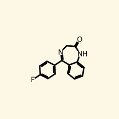 O=C1CN=C(c2ccc(F)cc2)c2ccccc2N1